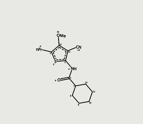 CCCc1sc(NC(=O)C2CCCCC2)c(C#N)c1OC